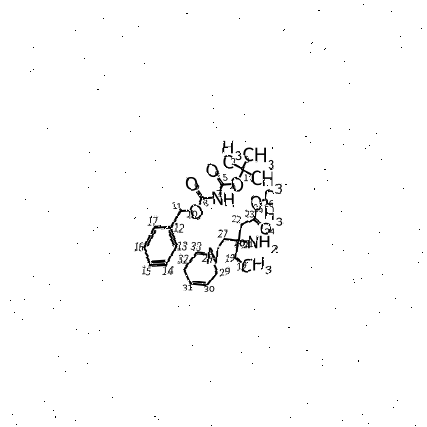 CC(C)(C)OC(=O)NC(=O)OCc1ccccc1.CC[C@@](N)(CC(=O)OC)CN1CC=CCC1